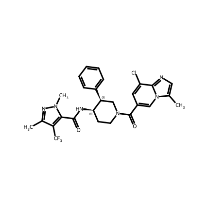 Cc1nn(C)c(C(=O)N[C@@H]2CCN(C(=O)c3cc(Cl)c4ncc(C)n4c3)C[C@@H]2c2ccccc2)c1C(F)(F)F